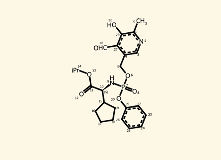 Cc1ncc(COP(=O)(N[C@H](C(=O)OC(C)C)C2CCCC2)Oc2ccccc2)c(C=O)c1O